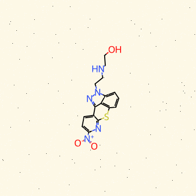 O=[N+]([O-])c1ccc2c(n1)Sc1cccc3c1c-2nn3CCNCCO